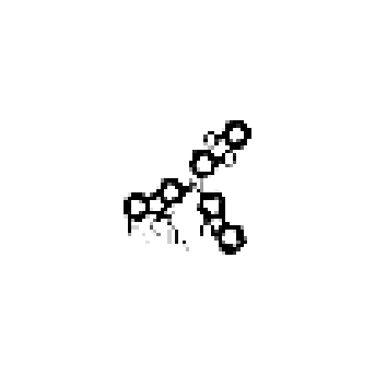 CC1(C)c2ccccc2-c2ccc(N(c3ccc4c(c3)oc3c#cccc34)C3C=CC4=C(C3)Oc3ccccc3O4)cc21